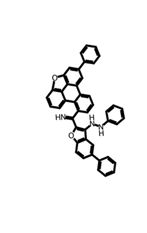 N=C(c1oc2ccc(-c3ccccc3)cc2c1NNc1ccccc1)c1cccc2c3cc(-c4ccccc4)cc4oc5cccc(c12)c5c43